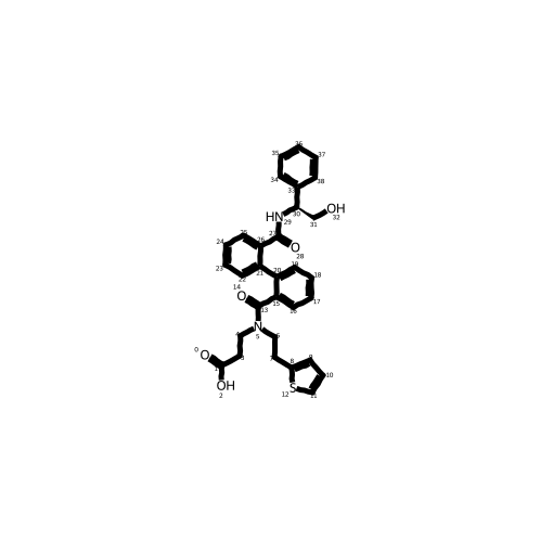 O=C(O)CCN(CCc1cccs1)C(=O)c1ccccc1-c1ccccc1C(=O)N[C@H](CO)c1ccccc1